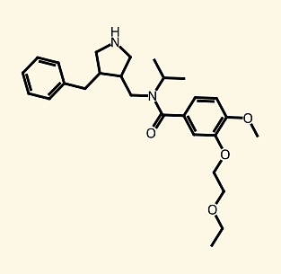 CCOCCOc1cc(C(=O)N(CC2CNCC2Cc2ccccc2)C(C)C)ccc1OC